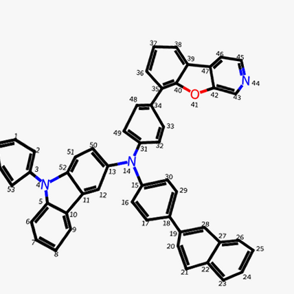 c1ccc(-n2c3ccccc3c3cc(N(c4ccc(-c5ccc6ccccc6c5)cc4)c4ccc(-c5cccc6c5oc5cnccc56)cc4)ccc32)cc1